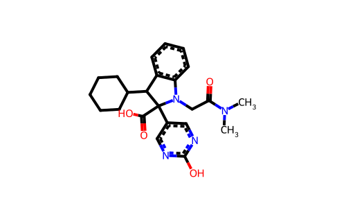 CN(C)C(=O)CN1c2ccccc2C(C2CCCCC2)C1(C(=O)O)c1cnc(O)nc1